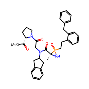 COC(=O)[C@@H]1CCCN1C(=O)CN(C(=O)[C@]1(C)NP1(=O)CCc1ccccc1Cc1ccccc1)C1Cc2ccccc2C1